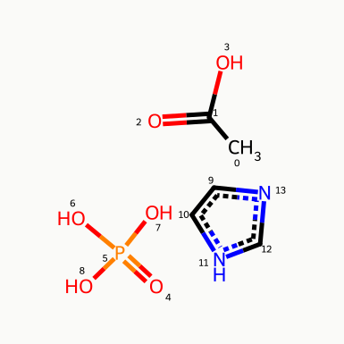 CC(=O)O.O=P(O)(O)O.c1c[nH]cn1